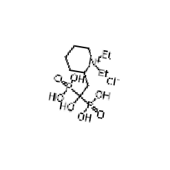 CC[N+]1(CC)CCCCC1CC(O)(P(=O)(O)O)P(=O)(O)O.[Cl-]